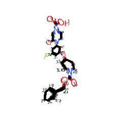 O=C(O)N1CCN(c2cc(F)cc(OC3CCN(C(=O)OCc4ccccc4)CC3)c2)C(=O)C1